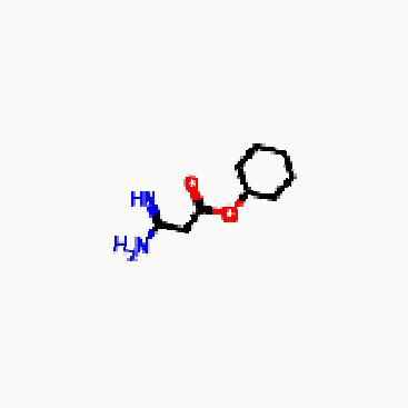 N=C(N)CC(=O)OC1CCCCC1